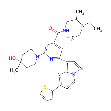 CCN(CC)C(C)CNC(=O)c1cc(-c2cnn3ccc(-c4cccs4)nc23)nc(N2CCC(C)(O)CC2)c1